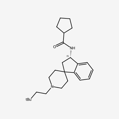 CC(C)(C)CCN1CCC2(CC1)C[C@H](NC(=O)C1CCCC1)c1ccccc12